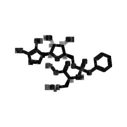 CCOC(=O)C[C@H](NP(=O)(OC[C@H]1O[C@@H](n2cnc(C#N)c2O)[C@H](O)[C@@H]1O)Oc1ccccc1)C(=O)OC(C)C